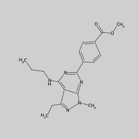 CCCNc1nc(-c2ccc(C(=O)OC)cc2)nc2c1c(CC)nn2C